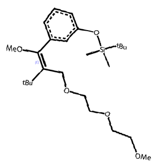 COCCOCCOC/C(=C(/OC)c1cccc(O[Si](C)(C)C(C)(C)C)c1)C(C)(C)C